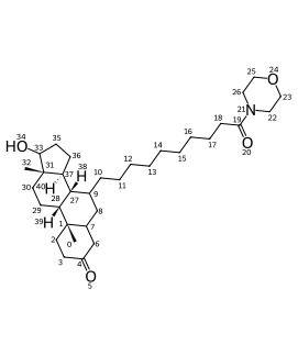 C[C@]12CCC(=O)CC1CC(CCCCCCCCCC(=O)N1CCOCC1)[C@@H]1[C@H]2CC[C@]2(C)C(O)CC[C@@H]12